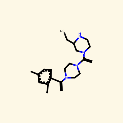 C=C(c1ccc(C)cc1C)N1CCN(C(=C)N2CCNC(CC#N)C2)CC1